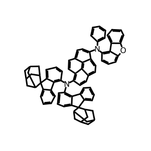 c1ccc(N(c2ccc3ccc4c(N(c5cccc6c5-c5ccccc5C65C6CC7CC(C6)CC5C7)c5cccc6c5-c5ccccc5C65C6CC7CC(C6)CC5C7)ccc5ccc2c3c54)c2cccc3oc4ccccc4c23)cc1